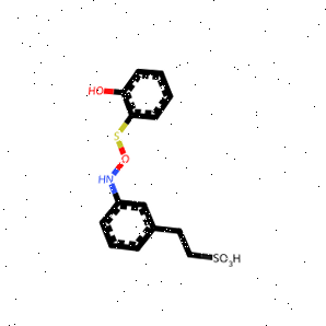 O=S(=O)(O)CCc1cccc(NOSc2ccccc2O)c1